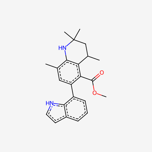 COC(=O)c1c(-c2cccc3cc[nH]c23)cc(C)c2c1C(C)CC(C)(C)N2